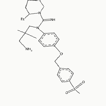 CCC1CCCCN1C(=N)N(CC(C)(C)CN)c1ccc(OCc2ccc(S(C)(=O)=O)cc2)cc1